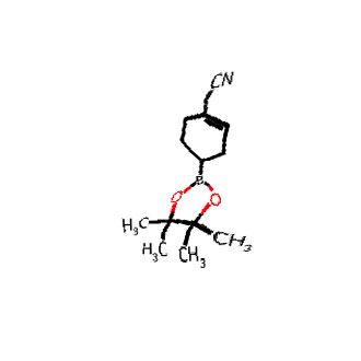 CC1(C)OB(C2CC=C(C#N)CC2)OC1(C)C